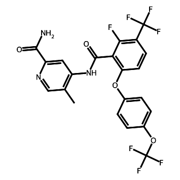 Cc1cnc(C(N)=O)cc1NC(=O)c1c(Oc2ccc(OC(F)(F)F)cc2)ccc(C(F)(F)F)c1F